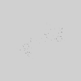 CC(C)(C)OC(=O)N(CCCCCC(=O)c1cc2c(c(S(N)(=O)=O)c1)OCC2)CCc1ccccc1OC(F)(F)F